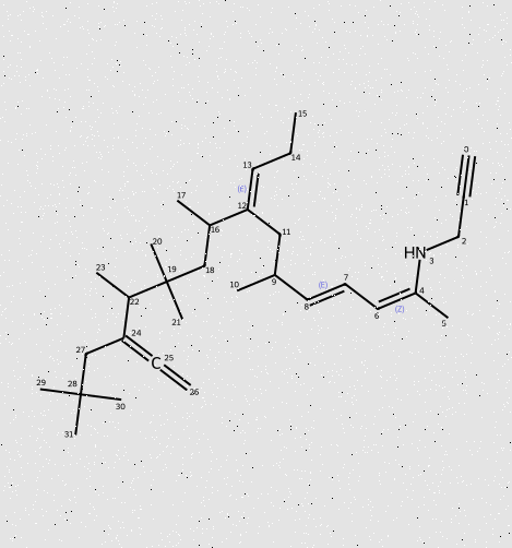 C#CCN/C(C)=C\C=C\C(C)C/C(=C\CC)C(C)CC(C)(C)C(C)C(=C=C)CC(C)(C)C